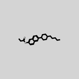 CCCCCC1CCC(c2ccc3cc(OC(=O)CC)ccc3c2)CC1